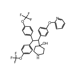 OC1(C(c2ccc(Oc3ccccn3)cc2)C(c2ccc(OC(F)(F)F)cc2)c2ccc(OC(F)(F)F)cc2)CCNCC1